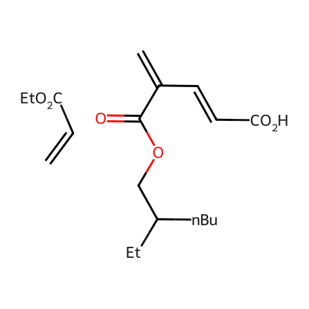 C=C(C=CC(=O)O)C(=O)OCC(CC)CCCC.C=CC(=O)OCC